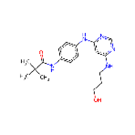 CC(C)(C)C(=O)Nc1ccc(Nc2cc(NCCCO)ncn2)cc1